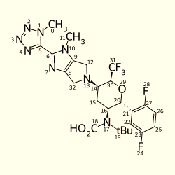 Cn1nnnc1-c1nc2c(n1C)CN([C@@H]1C[C@H](N(C(=O)O)C(C)(C)C)[C@@H](c3cc(F)ccc3F)O[C@@H]1C(F)(F)F)C2